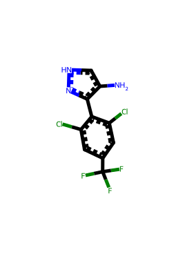 Nc1c[nH]nc1-c1c(Cl)cc(C(F)(F)F)cc1Cl